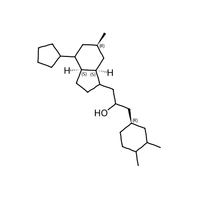 CC1CC[C@@H](CC(O)CC2CC[C@H]3C(C4CCCC4)C[C@@H](C)C[C@@H]23)CC1C